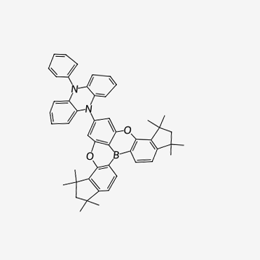 CC1(C)CC(C)(C)c2c1ccc1c2Oc2cc(N3c4ccccc4N(c4ccccc4)c4ccccc43)cc3c2B1c1ccc2c(c1O3)C(C)(C)CC2(C)C